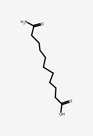 NC(=O)CCCCCCCCCC(=O)O